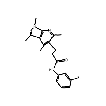 CCc1cccc(NC(=O)CCc2c(C)nc3c(c(C)nn3C)c2C)c1